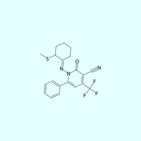 CSC1CCCC/C1=N\n1c(-c2ccccc2)cc(C(F)(F)F)c(C#N)c1=O